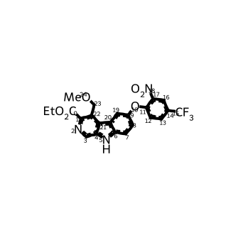 CCOC(=O)c1ncc2[nH]c3ccc(Oc4ccc(C(F)(F)F)cc4[N+](=O)[O-])cc3c2c1COC